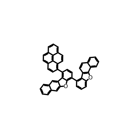 c1ccc2cc3c(cc2c1)oc1c(-c2cccc4oc5c6ccccc6ccc5c24)ccc(-c2ccc4ccc5cccc6ccc2c4c56)c13